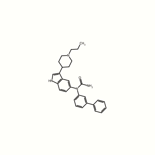 CCCN1CCC(c2c[nH]c3ccc(N(C(N)=O)c4cccc(-c5ccccc5)c4)cc23)CC1